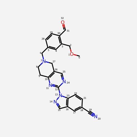 COCc1cc(CN2CCc3nc(-n4ncc5cc(C#N)ccc54)ncc3C2)ccc1C=O